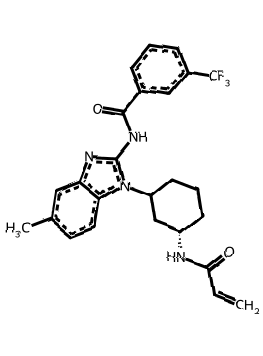 C=CC(=O)N[C@H]1CCCC(n2c(NC(=O)c3cccc(C(F)(F)F)c3)nc3cc(C)ccc32)C1